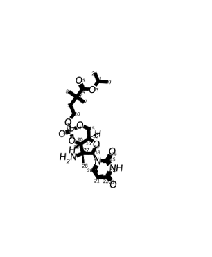 CC(C)OC(=O)C(C)(C)CCO[P@]1(=O)OC[C@H]2O[C@@H](n3ccc(=O)[nH]c3=O)[C@](C)(N)[C@@H]2O1